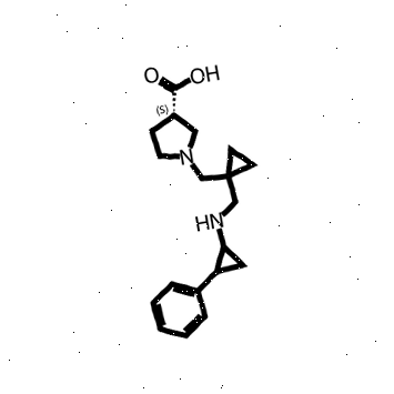 O=C(O)[C@H]1CCN(CC2(CNC3CC3c3ccccc3)CC2)C1